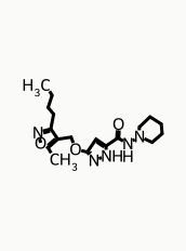 CCCCc1noc(C)c1COc1cc(C(=O)NN2CCCCC2)[nH]n1